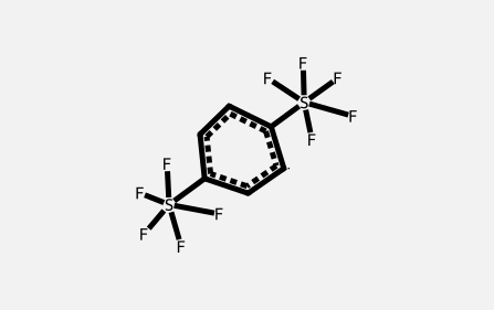 FS(F)(F)(F)(F)c1[c]cc(S(F)(F)(F)(F)F)cc1